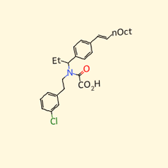 CCCCCCCCC=Cc1ccc(C(CC)N(CCc2cccc(Cl)c2)C(=O)C(=O)O)cc1